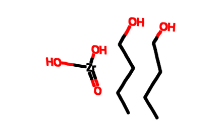 CCCCO.CCCCO.[O]=[Zr]([OH])[OH]